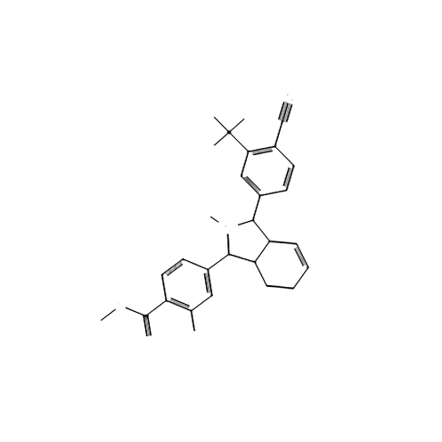 CNC(=O)c1ccc(C2C3CCC=CC3C(c3ccc(C#N)c(C(F)(F)F)c3)[NH+]2[O-])cc1F